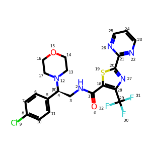 O=C(NC[C@@H](c1ccc(Cl)cc1)N1CCOCC1)c1sc(-c2ncccn2)nc1C(F)(F)F